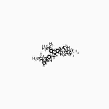 COC(=O)N[C@H](C(=O)N1CCC[C@H]1c1nc2ccc([C@H]3CC[C@H](c4ccc5nc([C@@H]6CCCN6C(=O)[CH]C(C)C)[nH]c5c4)N3c3ccc(C(C)(C)C)cc3F)cc2[nH]1)C(C)C